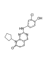 O=c1ccc2cnc(Nc3ccc(O)c(Cl)c3)nc2n1C1CCCC1